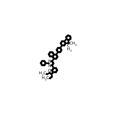 C=Cc1oc2c(-c3cc(-c4ccc(-c5ccc(-c6ccc7c(c6)C(C)(C)c6ccccc6-7)cc5)c5ccccc45)nc(-c4ccccc4)n3)cccc2c1/C=C\C